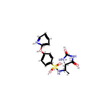 C[C@@H](NS(=O)(=O)c1ccc(Oc2ccccn2)cc1)[C@@H]1NC(=O)NC1=O